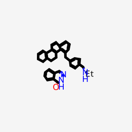 CCNCc1ccc(Cc2cccc3ccc4c(c23)CCC2=C4C=CCC2)cc1.O=c1[nH]ncc2ccccc12